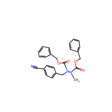 CN(C(=O)OCc1ccccc1)N(Cc1ccc(C#N)cc1)C(=O)OCc1ccccc1